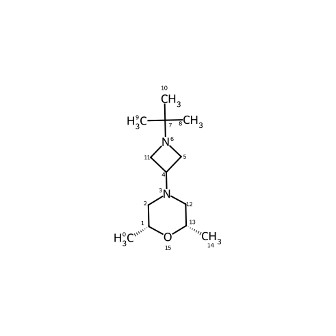 C[C@@H]1CN(C2CN(C(C)(C)C)C2)C[C@H](C)O1